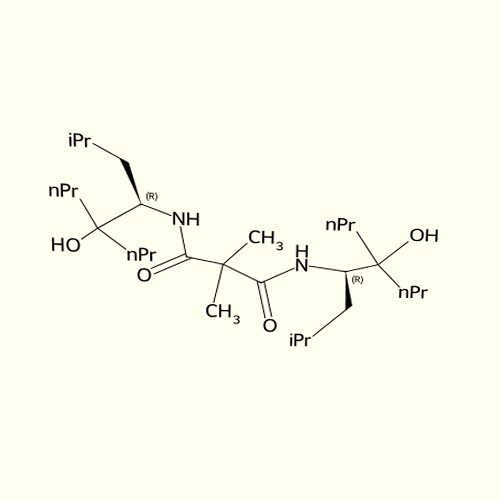 CCCC(O)(CCC)[C@@H](CC(C)C)NC(=O)C(C)(C)C(=O)N[C@H](CC(C)C)C(O)(CCC)CCC